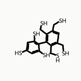 SCc1cc(CS)c(CS)c(-c2c(S)cc(S)cc2S)c1CS